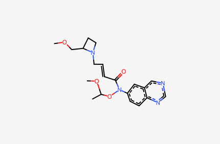 COCC1CCN1CC=CC(=O)N(OC(C)OC)c1ccc2ncncc2c1